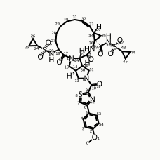 COc1ccc(-c2csc(C(=O)N3C[C@H]4CN5C(=O)[C@@H](NS(=O)(=O)C6CC6)CCCCC/C=C\[C@@H]6C[C@@]6(C(=O)NS(=O)(=O)C6CC6)NC(=O)[C@@H]5[C@H]4C3)n2)cc1